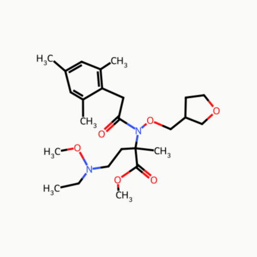 CCN(CCC(C)(C(=O)OC)N(OCC1CCOC1)C(=O)Cc1c(C)cc(C)cc1C)OC